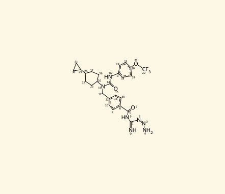 N=C(/N=N\N)NC(=O)c1ccc(CN(C(=O)Nc2ccc(OC(F)(F)F)cc2)C2CCC(C3CC3)CC2)cc1